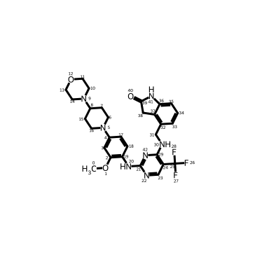 COc1cc(N2CCC(N3CCOCC3)CC2)ccc1Nc1ncc(C(F)(F)F)c(NCc2cccc3c2CC(=O)N3)n1